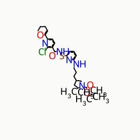 CC(C)(C)OC(=O)N1CC(CCCNc2cccc(SNC(=O)c3ccc(C4=CCCCO4)nc3Cl)n2)CC1(C)C